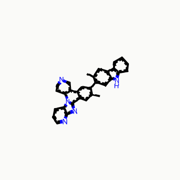 Cc1cc2c(cc1-c1cc3c4cnccc4n4c5cccnc5nc4c3cc1C)[nH]c1ccccc12